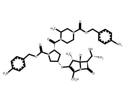 CC1CN(C(=O)OCc2ccc([N+](=O)[O-])cc2)CCN1C(=O)[C@@H]1C[C@H](SC2=C(C(=O)O)N3C(=O)[C@H]([C@@H](C)O)[C@H]3[C@H]2C)CN1C(=O)OCc1ccc([N+](=O)[O-])cc1